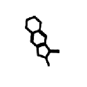 CC1Cc2cc3c(cc2C1=O)CCCC3